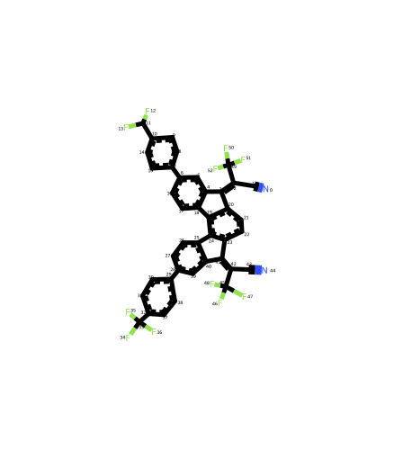 N#C/C(=C1/c2cc(-c3ccc(C(F)F)cc3)ccc2-c2c1ccc1c2-c2ccc(-c3ccc(C(F)(F)F)cc3)cc2/C1=C(/C#N)C(F)(F)F)C(F)(F)F